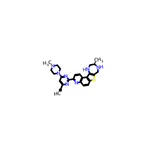 C#Cc1cc(N2CCN(C)CC2)nc(-c2ccc3c(ccc4sc5c(c43)NC[C@@H](C)NC5)n2)n1